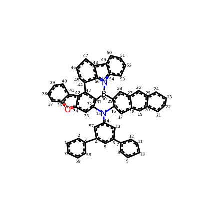 c1ccc(-c2cc(-c3ccccc3)cc(N3c4cc5cc6ccccc6cc5cc4B4c5c3cc3oc6ccccc6c3c5-c3cccc5c6ccccc6n4c35)c2)cc1